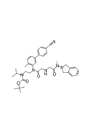 Cc1ccc(-c2ccc(C#N)cc2)cc1N(CCN(C(=O)OC(C)(C)C)C(C)C)C(=O)CNCC(=O)N(C)N1Cc2ccccc2C1